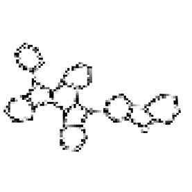 c1ccc(-n2c3ccccc3c3c4c5ccccc5n(-c5ccc6c(c5)oc5ccccc56)c4c4ccccc4c32)cc1